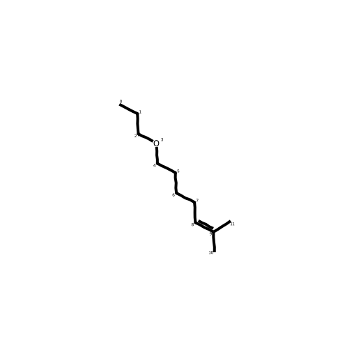 CC[CH]OCCCCC=C(C)C